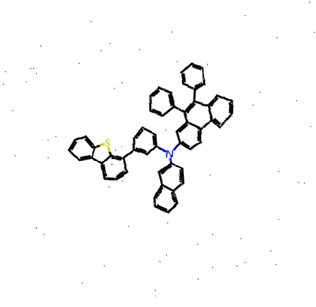 c1ccc(-c2c(-c3ccccc3)c3cc(N(c4cccc(-c5cccc6c5sc5ccccc56)c4)c4ccc5ccccc5c4)ccc3c3ccccc23)cc1